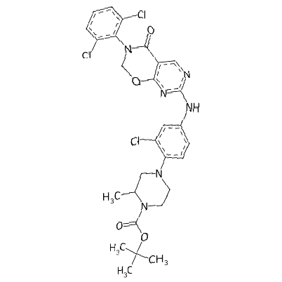 CC1CN(c2ccc(Nc3ncc4c(n3)OCN(c3c(Cl)cccc3Cl)C4=O)cc2Cl)CCN1C(=O)OC(C)(C)C